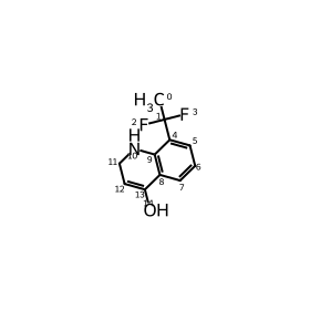 CC(F)(F)c1cccc2c1NCC=C2O